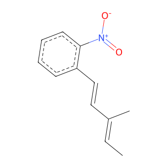 C/C=C(C)/C=C/c1ccccc1[N+](=O)[O-]